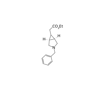 CCOC(=O)CC1[C@H]2CN(Cc3ccccc3)C[C@@H]12